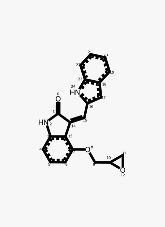 O=C1Nc2cccc(OCC3CO3)c2C1=Cc1cc2ccccc2[nH]1